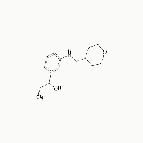 N#CCC(O)c1cccc(NCC2CCOCC2)c1